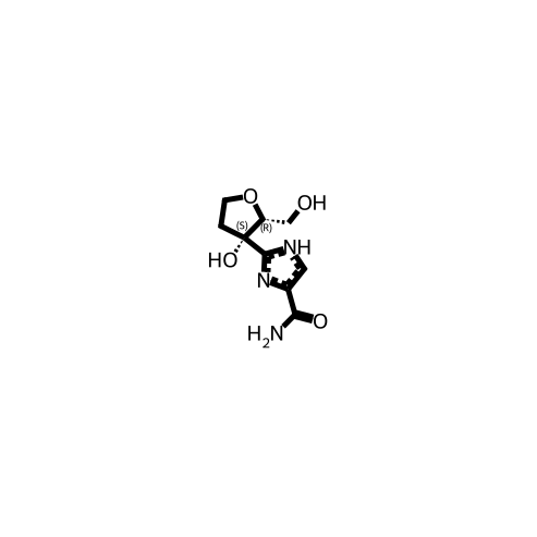 NC(=O)c1c[nH]c([C@@]2(O)CCO[C@@H]2CO)n1